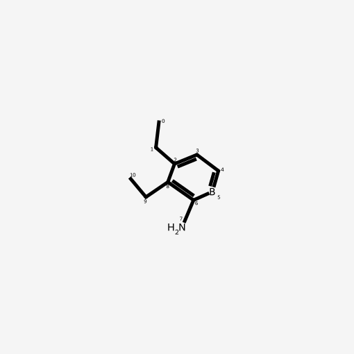 CCc1ccbc(N)c1CC